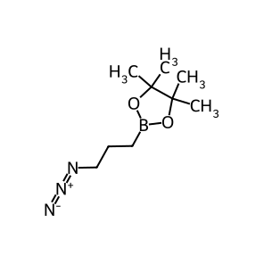 CC1(C)OB(CCCN=[N+]=[N-])OC1(C)C